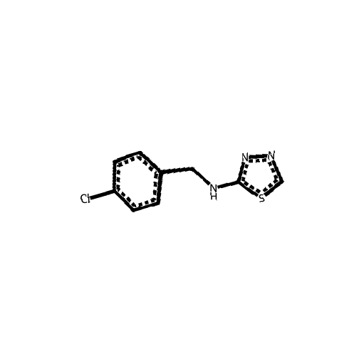 Clc1ccc(CNc2nncs2)cc1